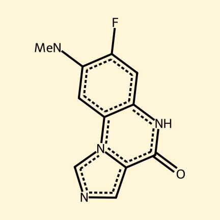 CNc1cc2c(cc1F)[nH]c(=O)c1cncn12